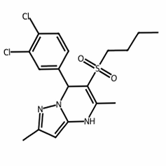 CCCCS(=O)(=O)C1=C(C)Nc2cc(C)nn2C1c1ccc(Cl)c(Cl)c1